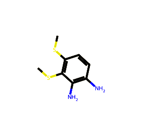 CSc1ccc(N)c(N)c1SC